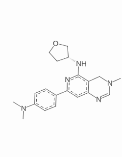 CN1C=Nc2cc(-c3ccc(N(C)C)cc3)nc(N[C@@H]3CCOC3)c2C1